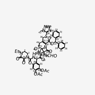 CCN1CCN(C(=O)NC(C(=O)N[C@]2(NC=O)C(=O)N3C(C(=O)OC(c4ccccc4)c4ccccc4)=C(CSc4nnnn4C)C[S+]([O-])[C@@H]32)c2ccc(OC(C)=O)c(OC(C)=O)c2)C(=O)C1=O